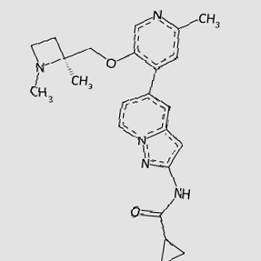 Cc1cc(-c2ccn3nc(NC(=O)C4CC4)cc3c2)c(OC[C@]2(C)CCN2C)cn1